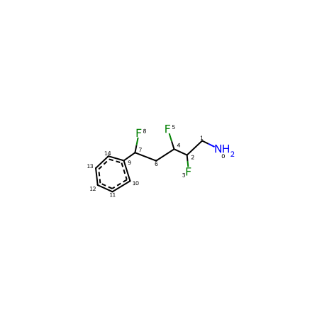 NCC(F)C(F)CC(F)c1ccccc1